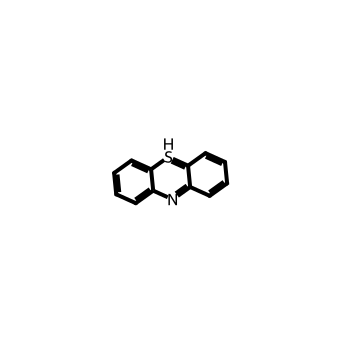 c1ccc2c(c1)N=c1ccccc1=[SH]2